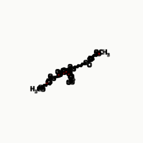 COC(=O)/C=C/c1ccc(C(=O)OCCCCCCOC(=O)C(Cc2ccc([N+](=O)[O-])cc2)(Cc2ccc([N+](=O)[O-])cc2)C(=O)OCCCCCCOC(=O)c2ccc(/C=C/C(=O)OC)cc2)cc1